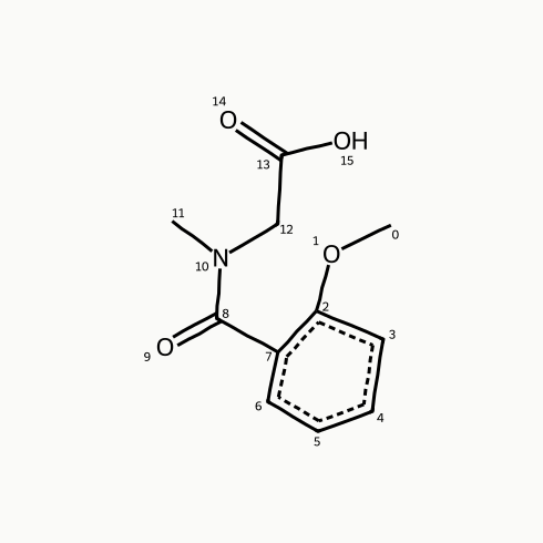 COc1ccccc1C(=O)N(C)CC(=O)O